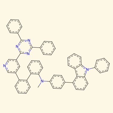 CN(c1ccc(-c2cccc3c2c2ccccc2n3-c2ccccc2)cc1)c1ccccc1-c1ccccc1-c1cncc(-c2nc(-c3ccccc3)nc(-c3ccccc3)n2)c1